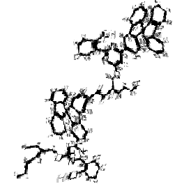 CCCCC(CC)COC1=CC(C2=CC3C(C=C2)C2C=C(CCC(CCCC)COc4cc(C5=CC=C6C(C5)C5=C(C=CCC5)C65C6=C(CCCC6)c6ccccc65)nc(C5=C(O)C=CCC5)n4)C=CC2C32C3=C(C=CCC3)C3C=CC=CC32)=NC(C2=C(O)CCCC2)N1